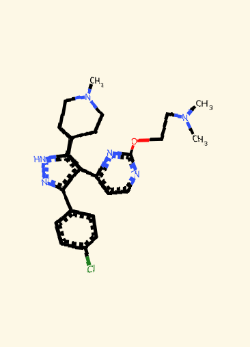 CN(C)CCOc1nccc(-c2c(-c3ccc(Cl)cc3)n[nH]c2C2CCN(C)CC2)n1